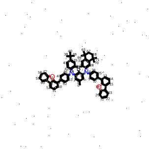 Cc1cc2c3c(c1)N(c1ccc(-c4cccc5c4oc4ccccc45)cc1)c1cc4c(cc1B3c1cc(C(C)(C)C)ccc1N2c1ccc(-c2cccc3c2oc2ccccc23)cc1)C(C)(C)CCC4(C)C